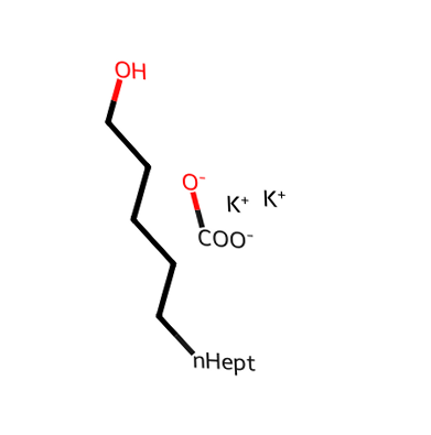 CCCCCCCCCCCCO.O=C([O-])[O-].[K+].[K+]